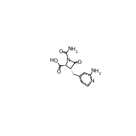 NC(=O)N1C(=O)[C@H](Cc2ccnc(N)c2)[C@H]1C(=O)O